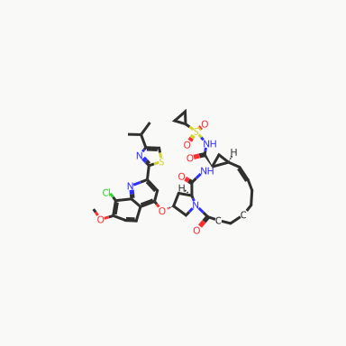 COc1ccc2c(O[C@@H]3C[C@H]4C(=O)N[C@]5(C(=O)NS(=O)(=O)C6CC6)C[C@H]5/C=C\CCCCCC(=O)N4C3)cc(-c3nc(C(C)C)cs3)nc2c1Cl